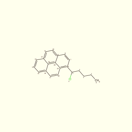 CCCCC(Cl)c1ccc2ccc3cccc4ccc1c2c34